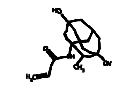 C=CC(=O)NC12CC3CC(O)(CC(O)(C3)C1C)C2